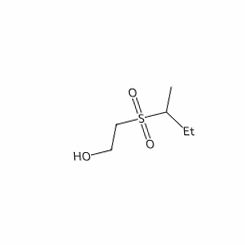 CCC(C)S(=O)(=O)CCO